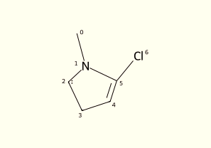 CN1[C]CC=C1Cl